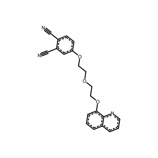 N#Cc1ccc(OCCOCCOc2cccc3cccnc23)cc1C#N